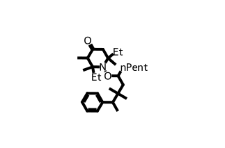 CCCCCC(CC(C)(C)C(C)c1ccccc1)ON1C(C)(CC)CC(=O)C(C)C1(C)CC